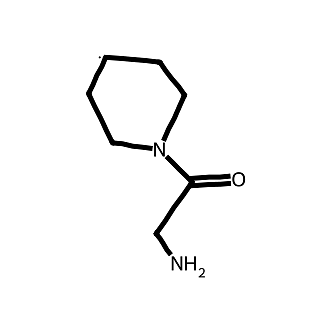 NCC(=O)N1CC[CH]CC1